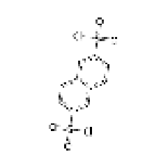 O=S(=O)(Cl)c1ccc2cc(S(=O)(=O)Cl)ccc2c1